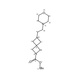 CC(C)(C)OC(=O)N1CC2(CN(CCN3CCOCC3)C2)C1